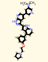 CN(C)c1cncc(-c2cnc3[nH]nc(-c4cc5c(-c6cc(F)cc(OCCN7CCCC7)c6)ccnc5[nH]4)c3c2)c1